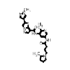 Cc1ncc(NC(=O)CCCN2CCC[C@@H]2C)cc1NC(=O)c1cnn2cc(-c3cnn(C)c3)sc12